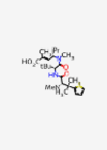 CN[C@H](C(=O)N[C@H](C(=O)N(C)[C@H](/C=C(\C)C(=O)O)C(C)C)C(C)(C)C)C(C)(C)c1cccs1